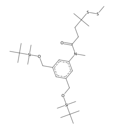 CSSC(C)(C)CCC(=O)N(C)c1cc(CO[Si](C)(C)C(C)(C)C)cc(CO[Si](C)(C)C(C)(C)C)c1